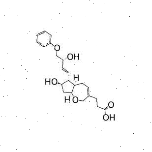 O=C(O)CCC1=CC[C@@H]2[C@@H](/C=C/[C@@H](O)COc3ccccc3)[C@H](O)C[C@@H]2OC1